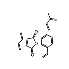 C=CC(=C)C.C=CC=C.C=Cc1ccccc1.O=C1C=CC(=O)O1